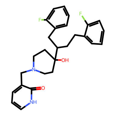 O=c1[nH]cccc1CN1CCC(O)(C(CCc2ccccc2F)Cc2ccccc2F)CC1